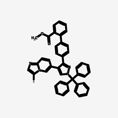 COC(=O)c1ccccc1-c1ccc(-c2nn(C(c3ccccc3)(c3ccccc3)c3ccccc3)cc2-c2ccc3ncc(I)n3c2)cc1